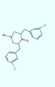 CC(C)N1CC(Cc2cccc(Cl)c2)C(=O)C(Cc2cccc(Cl)c2)C1